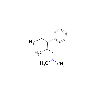 CCC(c1ccccc1)C(C)CN(C)C